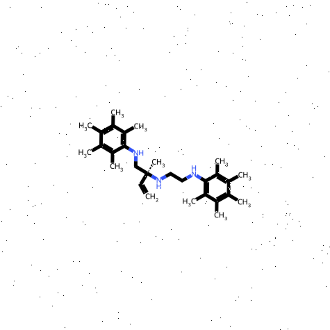 C=C[C@@](C)(CNc1c(C)c(C)c(C)c(C)c1C)NCCNc1c(C)c(C)c(C)c(C)c1C